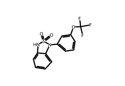 O=S1(=O)Nc2ccccc2N1c1cccc(OC(F)(F)F)c1